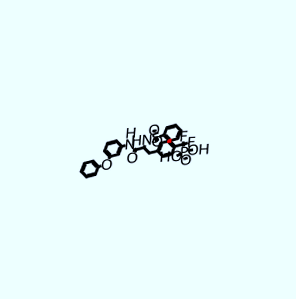 O=C(Nc1cccc(Oc2ccccc2)c1)C(Cc1ccc(C(F)(F)P(=O)(O)O)cc1)NS(=O)(=O)c1ccccc1